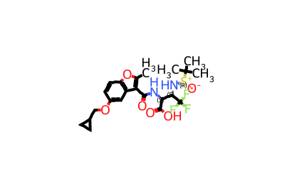 Cc1oc2ccc(OCC3CC3)cc2c1C(=O)N[C@H](C(=O)O)[C@H](N[S@@+]([O-])C(C)(C)C)C(F)(F)F